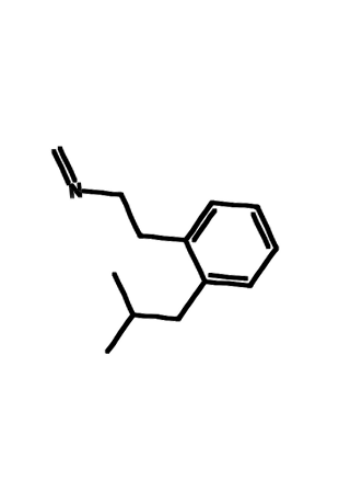 C=NCCc1ccccc1CC(C)C